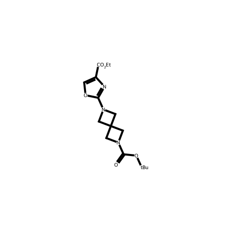 CCOC(=O)c1coc(N2CC3(CN(C(=O)OC(C)(C)C)C3)C2)n1